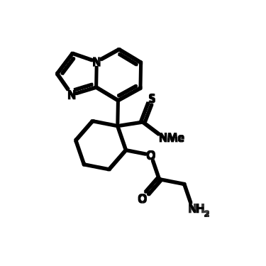 CNC(=S)C1(c2cccn3ccnc23)CCCCC1OC(=O)CN